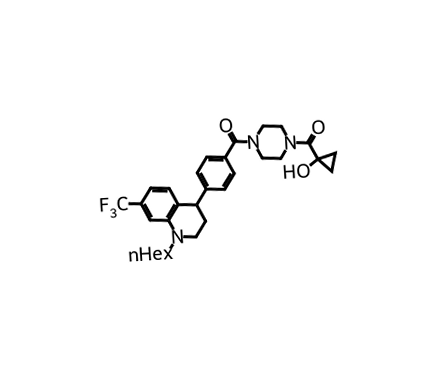 CCCCCCN1CCC(c2ccc(C(=O)N3CCN(C(=O)C4(O)CC4)CC3)cc2)c2ccc(C(F)(F)F)cc21